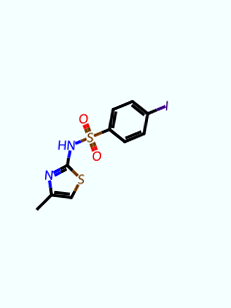 Cc1csc(NS(=O)(=O)c2ccc(I)cc2)n1